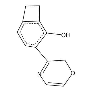 Oc1c(C2=NC=COC2)ccc2c1CC2